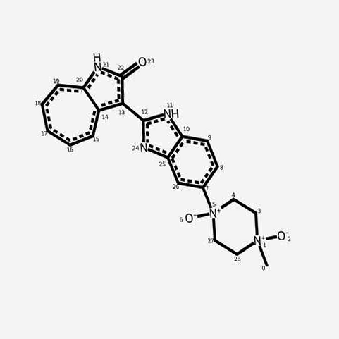 C[N+]1([O-])CC[N+]([O-])(c2ccc3[nH]c(-c4c5cccccc-5[nH]c4=O)nc3c2)CC1